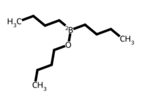 CCCCO[2B](CCCC)CCCC